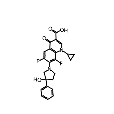 O=C(O)c1cn(C2CC2)c2c(F)c(N3CCC(O)(c4ccccc4)C3)c(F)cc2c1=O